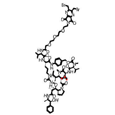 CC[C@H](C)[C@@H]([C@@H](CC(=O)N1CCC[C@H]1[C@H](OC)[C@@H](C)C(=O)N[C@H](C)[C@@H](O)c1ccccc1)OC)N(C)C(=O)[C@@H](NC(=O)[C@H](C(C)C)N(C)C(=O)OCc1ccc(NC(=O)[C@H](CCCNC(N)=O)NC(=O)[C@@H](NC(=O)COCCOCCOCCN2C(=O)c3nc(CBr)c(CBr)nc3C2=O)C(C)C)cc1)C(C)C